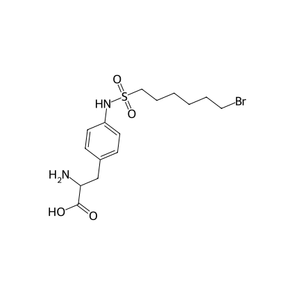 NC(Cc1ccc(NS(=O)(=O)CCCCCCBr)cc1)C(=O)O